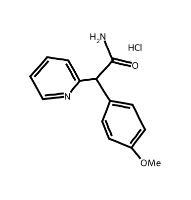 COc1ccc(C(C(N)=O)c2ccccn2)cc1.Cl